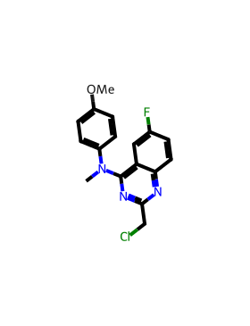 COc1ccc(N(C)c2nc(CCl)nc3ccc(F)cc23)cc1